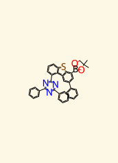 CC1(C)COB(c2cc(-c3ccccc3)cc3c2sc2cccc(-c4nc(-c5ccccc5)nc(-c5ccccc5)n4)c23)O1